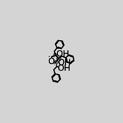 OC(Cc1ccccc1)[C@H]1O[CH][C@](O)(Cc2ccccc2)[C@@]1(O)Cc1ccccc1